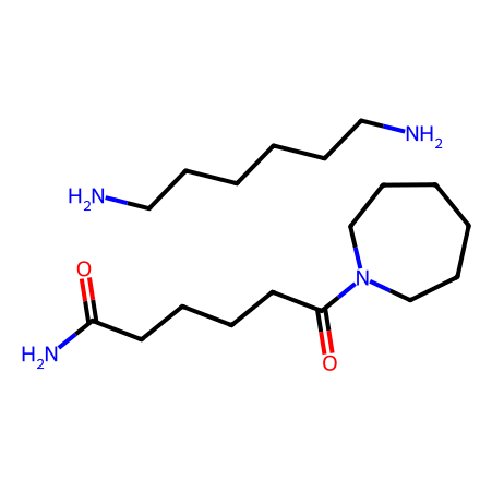 NC(=O)CCCCC(=O)N1CCCCCC1.NCCCCCCN